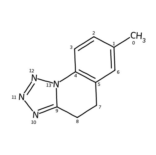 Cc1ccc2c(c1)CCc1nnnn1-2